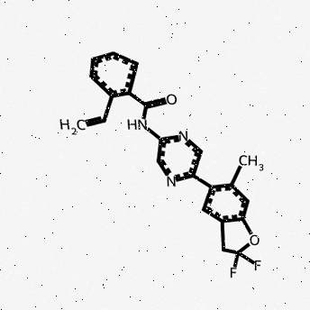 C=Cc1ccccc1C(=O)Nc1cnc(-c2cc3c(cc2C)OC(F)(F)C3)cn1